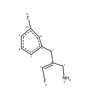 NCC(=CF)Cc1cccc(F)c1